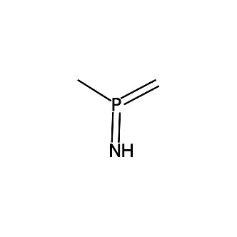 C=P(C)=N